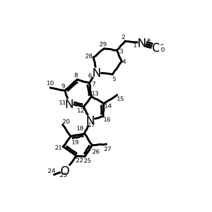 [C-]#[N+]CC1CCN(c2cc(C)nc3c2c(C)cn3-c2c(C)cc(OC)cc2C)CC1